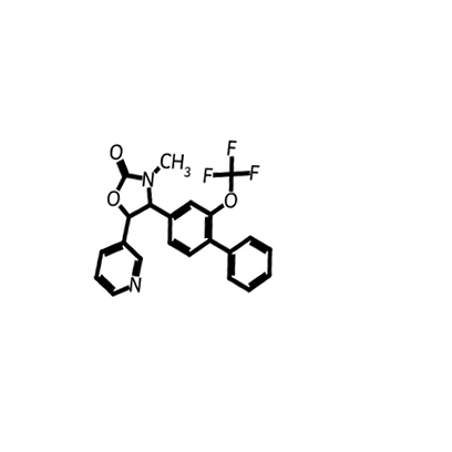 CN1C(=O)OC(c2cccnc2)C1c1ccc(-c2ccccc2)c(OC(F)(F)F)c1